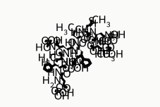 CSCC[C@H](NC(=O)[C@H](CC(C)C)NC(=O)[C@H](Cc1cn(P(=O)(O)O)c2ccccc12)NC(=O)[C@H](CCC(=O)NP(=O)(O)O)NC(=O)[C@@H](NC(=O)[C@H](Cc1ccccc1)NC(=O)[C@@H](N)CC(=O)OP(=O)(O)O)C(C)C)C(=O)N[C@@H](CC(=O)NP(=O)(O)O)C(=O)N[C@H](C(=O)O)[C@@H](C)OP(=O)(O)O